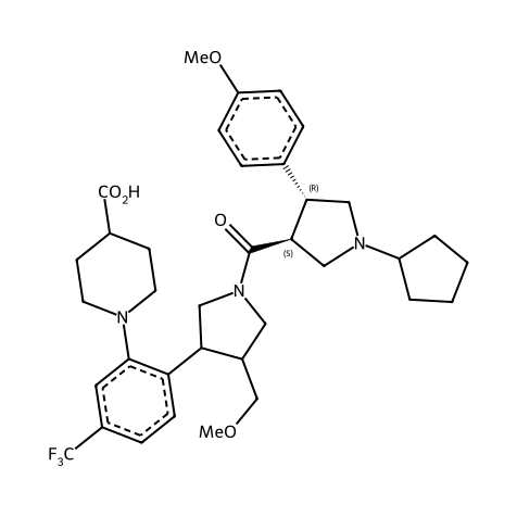 COCC1CN(C(=O)[C@@H]2CN(C3CCCC3)C[C@H]2c2ccc(OC)cc2)CC1c1ccc(C(F)(F)F)cc1N1CCC(C(=O)O)CC1